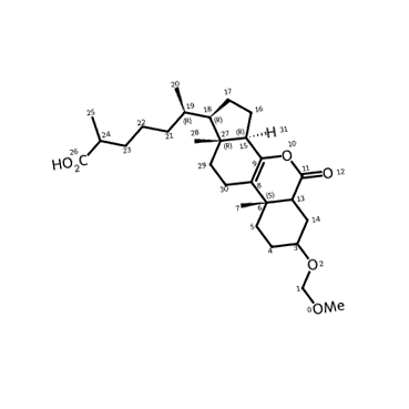 COCOC1CC[C@]2(C)C3=C(OC(=O)C2C1)[C@@H]1CC[C@H]([C@H](C)CCCC(C)C(=O)O)[C@@]1(C)CC3